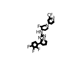 Fc1ccc(-c2cccn3nc(NC4CCN(c5ccnc(C(F)(F)F)c5)CC4F)nc23)c(F)c1F